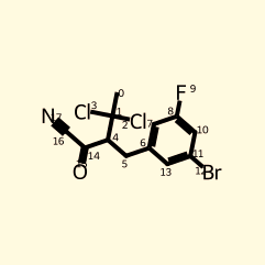 CC(Cl)(Cl)C(Cc1cc(F)cc(Br)c1)C(=O)C#N